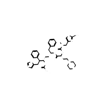 CC(C)c1nc(CN(C)C(=O)N[C@@H](CCN2CCOCC2)C(=O)N[C@H](CC[C@@H](OC(N)=O)C(Cc2cncs2)c2ccccc2)Cc2ccccc2)cs1